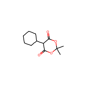 CC1(C)OC(=O)C(C2CCCCC2)C(=O)O1